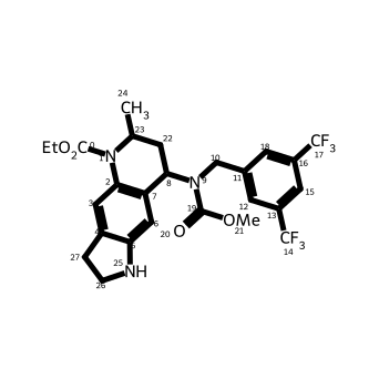 CCOC(=O)N1c2cc3c(cc2C(N(Cc2cc(C(F)(F)F)cc(C(F)(F)F)c2)C(=O)OC)CC1C)NCC3